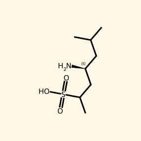 CC(C)C[C@H](N)CC(C)S(=O)(=O)O